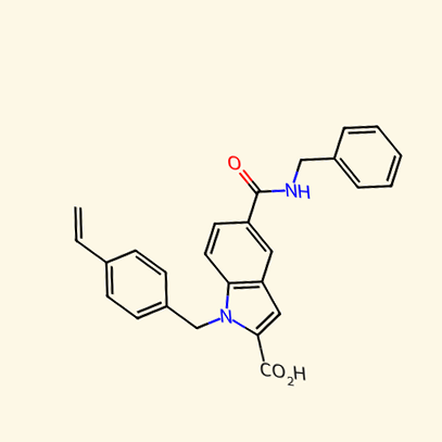 C=Cc1ccc(Cn2c(C(=O)O)cc3cc(C(=O)NCc4ccccc4)ccc32)cc1